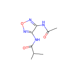 CC(=O)Nc1nonc1NC(=O)C(C)C